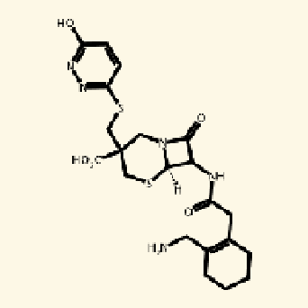 NCC1=C(CC(=O)NC2C(=O)N3CC(CSc4ccc(O)nn4)(C(=O)O)CS[C@H]23)CCCC1